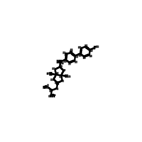 CCCC(CCC)CN1C[C@H]2C[C@H](Nc3ccc(-c4ccc(F)cc4)nn3)C[C@H]2C1